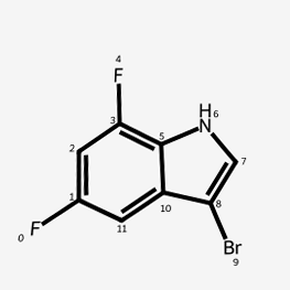 Fc1cc(F)c2[nH]cc(Br)c2c1